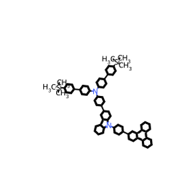 C[Si](C)(C)c1ccc(-c2ccc(N(c3ccc(-c4ccc([Si](C)(C)C)cc4)cc3)c3ccc(-c4ccc5c(c4)c4ccccc4n5-c4ccc(-c5ccc6c7ccccc7c7ccccc7c6c5)cc4)cc3)cc2)cc1